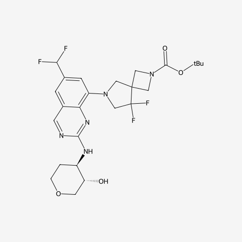 CC(C)(C)OC(=O)N1CC2(C1)CN(c1cc(C(F)F)cc3cnc(N[C@@H]4CCOC[C@H]4O)nc13)CC2(F)F